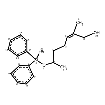 CC(=CCCC(C)O[Si](c1ccccc1)(c1ccccc1)C(C)(C)C)CO